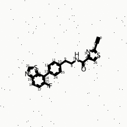 C#Cc1nc(C(=O)NCCc2ccc(-c3c(F)ccc4ncsc34)cc2)cs1